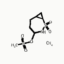 C.CS(=O)(=O)OC1CCC2CC2S(=O)(=O)N1